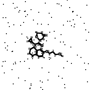 COCCCOc1ccc2c(c1)[C@@H](N(C(=O)[C@H]1CNCCO1)C1CC1)CCC2